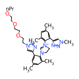 CCCOCCOCCOCCn1cc(-c2cc(C)cc(C)c2N2C=[N+](c3c(C)cc(C)cc3-c3cn(C)nn3)CC2)nn1